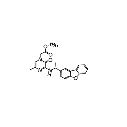 Cc1cn(CC(=O)OC(C)(C)C)c(=O)c(N[C@H](C)c2ccc3oc4ccccc4c3c2)n1